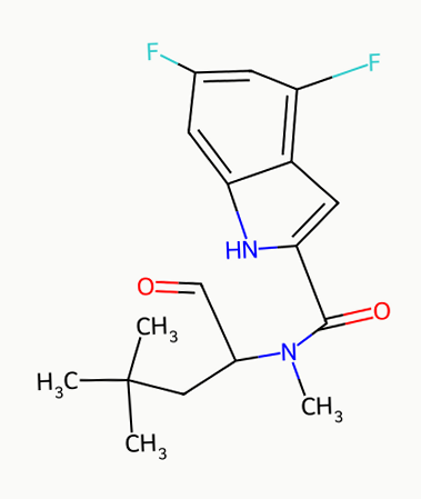 CN(C(=O)c1cc2c(F)cc(F)cc2[nH]1)C(C=O)CC(C)(C)C